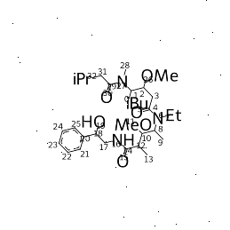 CCC(C)C(C(CC(=O)N(CC)C(C)C(OC)C(C)C(=O)NCC(O)c1ccccc1)OC)N(C)C(=O)CC(C)C